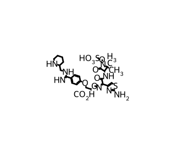 CC1(C)[C@H](NC(=O)C(=NO[C@@H](COc2ccc(C(=N)NCC3CCCCN3)cc2)C(=O)O)c2csc(N)n2)C(=O)N1OS(=O)(=O)O